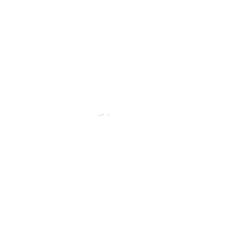 C=C(C)C(=O)OCCC[Si]12OC3CCCCC(O)C(O1)C3O2